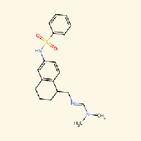 CN(C)C=NCC1CCCc2cc(NS(=O)(=O)c3ccccc3)ccc21